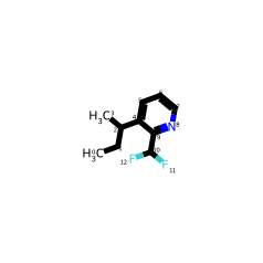 CCC(C)c1cccnc1C(F)F